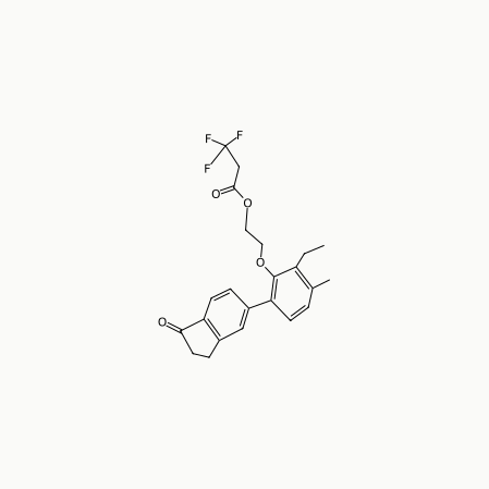 CCc1c(C)ccc(-c2ccc3c(c2)CCC3=O)c1OCCOC(=O)CC(F)(F)F